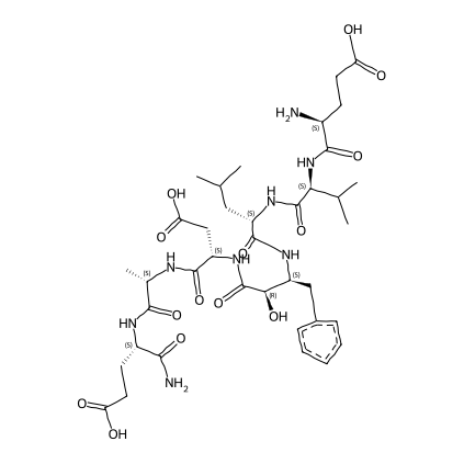 CC(C)C[C@H](NC(=O)[C@@H](NC(=O)[C@@H](N)CCC(=O)O)C(C)C)C(=O)N[C@@H](Cc1ccccc1)[C@@H](O)C(=O)N[C@@H](CC(=O)O)C(=O)N[C@@H](C)C(=O)N[C@@H](CCC(=O)O)C(N)=O